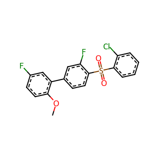 COc1ccc(F)cc1-c1ccc(S(=O)(=O)c2ccccc2Cl)c(F)c1